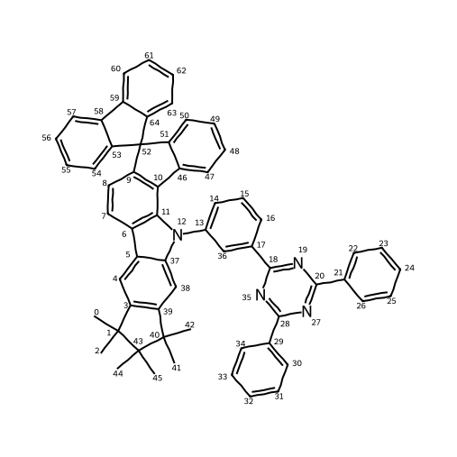 CC1(C)c2cc3c4ccc5c(c4n(-c4cccc(-c6nc(-c7ccccc7)nc(-c7ccccc7)n6)c4)c3cc2C(C)(C)C1(C)C)-c1ccccc1C51c2ccccc2-c2ccccc21